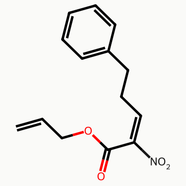 C=CCOC(=O)C(=CCCc1ccccc1)[N+](=O)[O-]